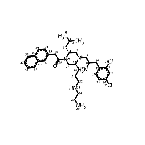 CC(C)C[C@@H]1CN(CC(N)Cc2ccc(Cl)cc2Cl)[C@@H](CCCNCCN)CN1C(=O)Cc1ccc2ccccc2c1